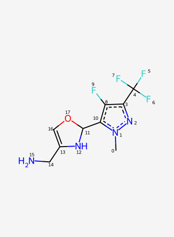 Cn1nc(C(F)(F)F)c(F)c1C1NC(CN)=CO1